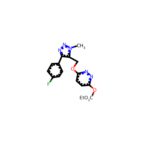 CCOC(=O)Oc1ccc(OCc2c(-c3ccc(F)cc3)nnn2C)nn1